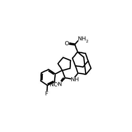 N#C/N=C(/NC1C2CC3CC1CC(C(N)=O)(C3)C2)C1(c2cccc(F)c2)CCCC1